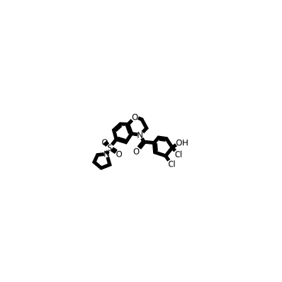 O=C(C1=CC(Cl)C(O)(Cl)C=C1)N1CCOc2ccc(S(=O)(=O)N3CCCC3)cc21